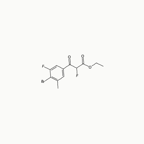 CCOC(=O)C(F)C(=O)c1cc(C)c(Br)c(F)c1